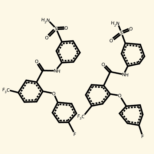 NS(=O)(=O)c1cccc(NC(=O)c2cc(C(F)(F)F)ccc2Oc2ccc(F)cc2)c1.NS(=O)(=O)c1cccc(NC(=O)c2ccc(C(F)(F)F)cc2Oc2ccc(F)cc2)c1